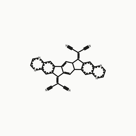 N#CC(C#N)=C1C2=CC3c4cc5nccnc5cc4C(=C(C#N)C#N)C3C=C2c2cc3nccnc3cc21